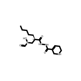 CCCCC[C@H](CN(O)C=O)C(=O)NNC(=O)C1=CCCNC1